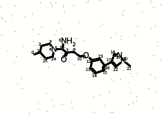 CC1CCN(C(N)C(=O)CCOc2c[c]cc(-c3cnn(C)c3)c2)CC1